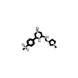 CCN1CC(NC[C@H]2CCN(C)C2)NC(c2ccc(S(C)(=O)=O)cc2)C1